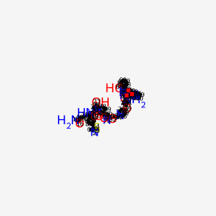 Cc1ncsc1-c1ccc([C@H](CCCC(N)=O)NC(=O)[C@@H]2C[C@@H](O)CN2C(=O)[C@H](c2cc(OCCN3CCC(O[C@H]4C[C@H](Oc5cc(N6C7CCC6CN(c6cc(-c8ccccc8O)nnc6N)C7)ccn5)C4)CC3)no2)C(C)C)cc1